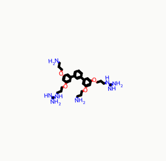 N=C(N)NCCCOc1cc(OCCCN)cc(-c2cccc(-c3cc(OCCCN)cc(OCCCNC(=N)N)c3)c2)c1